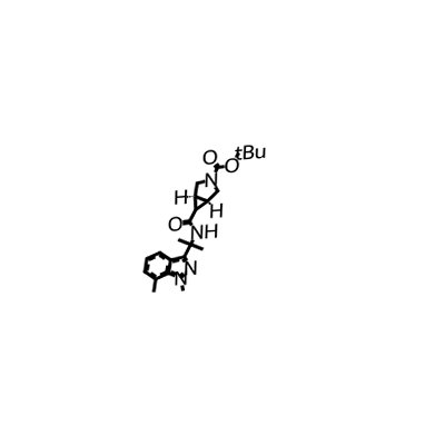 Cc1cccc2c(C(C)(C)NC(=O)C3[C@H]4CN(C(=O)OC(C)(C)C)C[C@@H]34)nn(C)c12